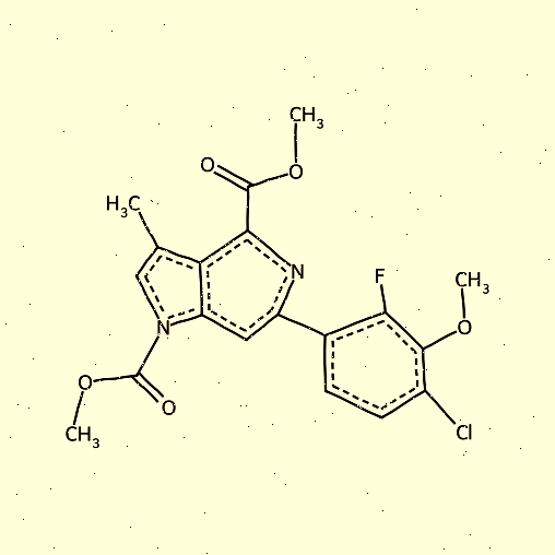 COC(=O)c1nc(-c2ccc(Cl)c(OC)c2F)cc2c1c(C)cn2C(=O)OC